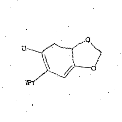 CC(C)C1=C(Cl)CC2OCOC2=C1